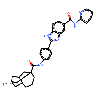 O=C(Nc1ccccn1)c1ccc2[nH]c(-c3ccc(NC(=O)C45CCCC6C[C@@H](CC6C4)C5)cc3)nc2c1